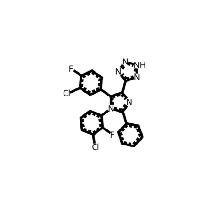 Fc1ccc(-c2c(-c3nn[nH]n3)nc(-c3ccccc3)n2-c2cccc(Cl)c2F)cc1Cl